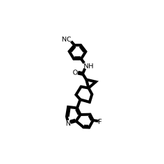 N#Cc1ccc(NC(=O)C2CC23CCC(c2ccnc4ccc(F)cc24)CC3)cc1